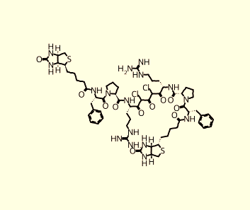 N=C(N)NCCC[C@H](NC(=O)[C@@H]1CCCN1C(=O)[C@H](Cc1ccccc1)NC(=O)CCCC[C@@H]1SC[C@@H]2NC(=O)N[C@@H]21)C(=O)C(Cl)C(=O)C(Cl)C(=O)[C@H](CCCNC(=N)N)NC(=O)[C@@H]1CCCN1C(=O)[C@H](Cc1ccccc1)NC(=O)CCCC[C@@H]1SC[C@@H]2NC(=O)N[C@@H]21